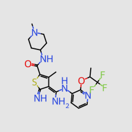 CC1=C(C(=O)NC2CCN(C)CC2)SC(=N)/C1=C(\N)Nc1cccnc1OC(C)C(F)(F)F